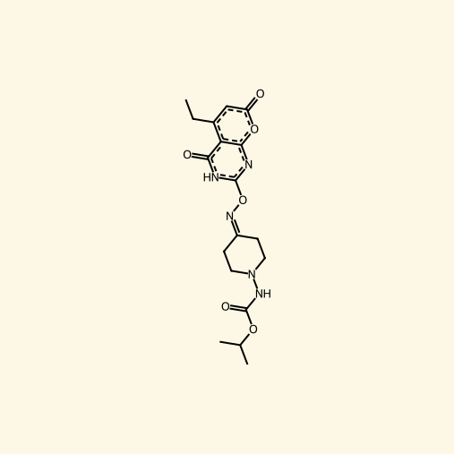 CCc1cc(=O)oc2nc(ON=C3CCN(NC(=O)OC(C)C)CC3)[nH]c(=O)c12